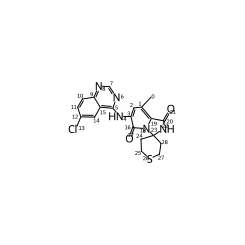 Cc1cc(Nc2ncnc3ccc(Cl)cc23)c(=O)n2c1C(=O)NC21CCSCC1